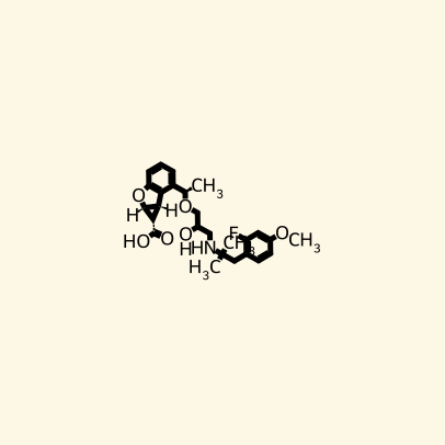 COc1ccc(CC(C)(C)NCC(O)CO[C@H](C)c2cccc3c2[C@@H]2[C@H](O3)[C@H]2C(=O)O)c(F)c1